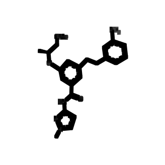 COC[C@H](C)Oc1cc(CCc2cccc(N)c2)cc(C(=O)Nc2ccn(C)n2)c1